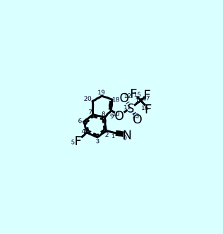 N#Cc1cc(F)cc2c1C(OS(=O)(=O)C(F)(F)F)=CCC2